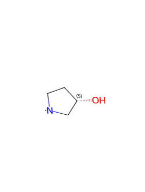 O[C@H]1CC[N]C1